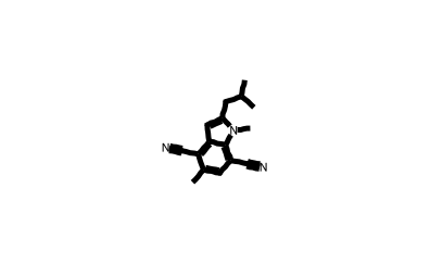 Cc1cc(C#N)c2c(cc(CC(C)C)n2C)c1C#N